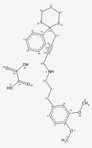 COc1ccc(CCCNCC#CCC2(c3ccccc3)SCCCS2)cc1OC.O=C(O)C(=O)O